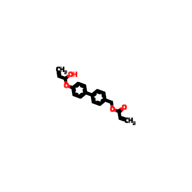 C=CC(=O)OCc1ccc(-c2ccc(OC(O)C=C)cc2)cc1